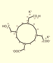 O=C([O-])CN1CCN(CC(=O)[O-])CCN(CC(=O)O)CCN(CC(=O)O)CC1.[K+].[K+]